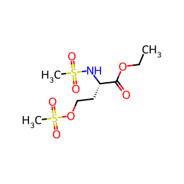 CCOC(=O)[C@H](CCOS(C)(=O)=O)NS(C)(=O)=O